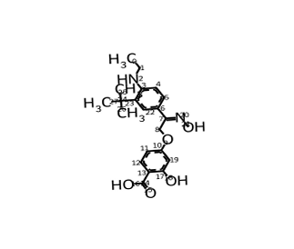 CCNc1ccc(C(COc2ccc(C(=O)O)c(O)c2)=NO)cc1C(C)(C)C